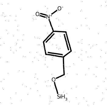 O=[N+]([O-])c1ccc(CO[SiH3])cc1